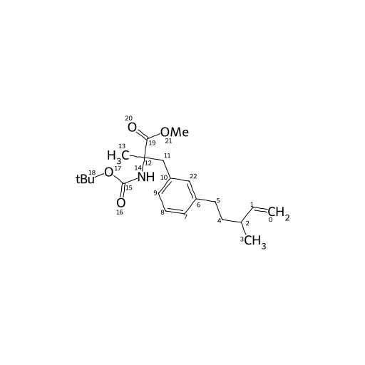 C=CC(C)CCc1cccc(CC(C)(NC(=O)OC(C)(C)C)C(=O)OC)c1